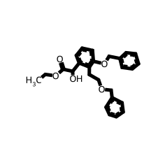 CCOC(=O)C(O)c1cccc(OCc2ccccc2)c1CCOCc1ccccc1